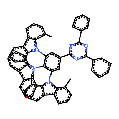 Cc1cccc2c3cccc(C)c3n(-c3cc(-c4nc(-c5ccccc5)nc(-c5ccccc5)n4)cc(-n4c5c(C)cccc5c5cccc(C)c54)c3-n3c4ccccc4c4ccccc43)c12